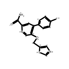 NC(=O)c1cc(-c2ccc(F)cc2)c(OCc2cncs2)cn1